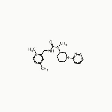 Cc1ccc(C)c(CNC(=O)N(C)[C@@H]2CCCN(c3cccnn3)C2)c1